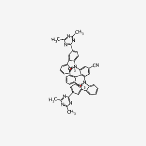 Cc1nc(C)nc(-c2ccc3c(c2)c2ccccc2n3-c2cc(C#N)cc(-n3c4ccccc4c4cc(-c5nc(C)nc(C)n5)ccc43)c2-c2c(C(F)(F)F)cccc2C(F)(F)F)n1